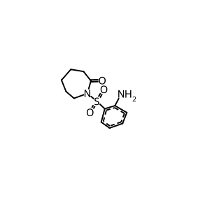 Nc1ccccc1S(=O)(=O)N1CCCCCC1=O